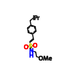 COCCNS(=O)(=O)C=Cc1ccc(CC(C)C)cc1